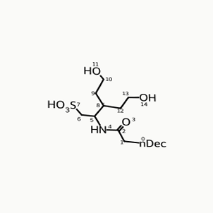 CCCCCCCCCCCC(=O)NC(CS(=O)(=O)O)[C](CCO)CCO